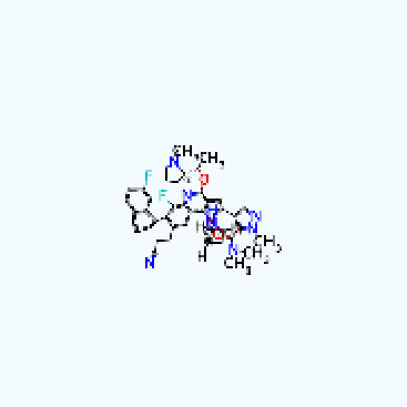 CC(Oc1nc2c(F)c(-c3cccc4ccc(F)cc34)c(CCC#N)cc2c2c1cc(-c1cnn(C)c1C(=O)N(C)C)n2[C@H]1[C@H]2CN[C@@H]1C2)[C@@H]1CCCN1C